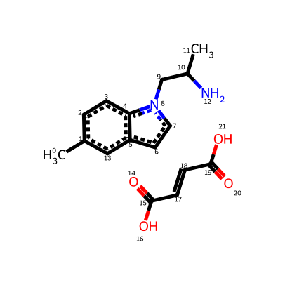 Cc1ccc2c(ccn2CC(C)N)c1.O=C(O)C=CC(=O)O